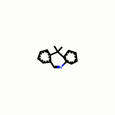 CC1(C)c2ccccc2C=Nc2ccccc21